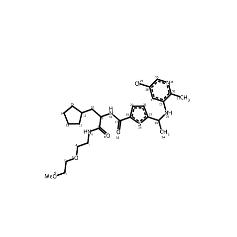 COCCOCCNC(=O)C(CC1CCCC1)NC(=O)c1ccc(C(C)Nc2cc(Cl)cnc2C)s1